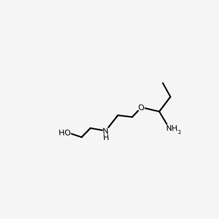 CCC(N)OCCNCCO